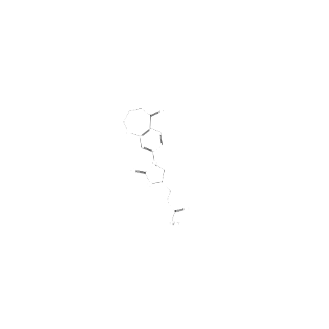 CCCC(=O)OCC1CN(c2ccc3c(c2)OCCCC3=O)C(=O)O1